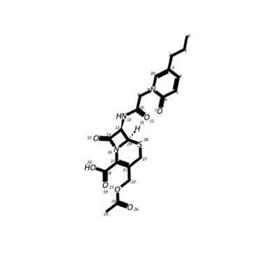 CCCc1ccc(=O)n(CC(=O)N[C@@H]2C(=O)N3C(C(=O)O)=C(COC(C)=O)CS[C@H]23)c1